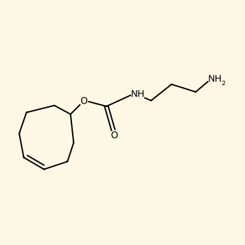 NCCCNC(=O)OC1CCC=CCCC1